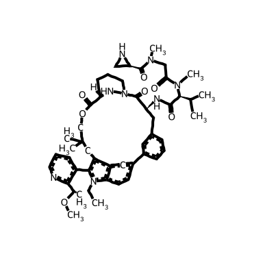 CCn1c(-c2cccnc2[C@H](C)OC)c2c3cc(ccc31)-c1cccc(c1)C[C@H](NC(=O)[C@H](C(C)C)N(C)C(=O)CN(C)C(=O)[C@H]1CN1)C(=O)N1CCC[C@H](N1)C(=O)OCC(C)(C)C2